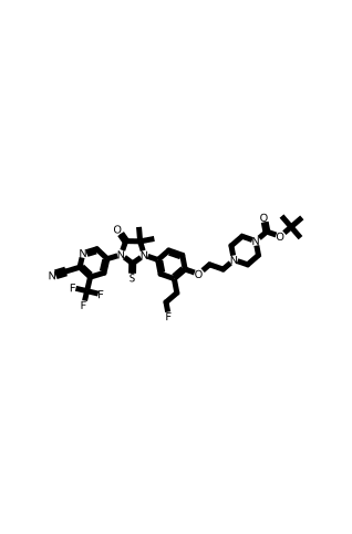 CC(C)(C)OC(=O)N1CCN(CCOc2ccc(N3C(=S)N(c4cnc(C#N)c(C(F)(F)F)c4)C(=O)C3(C)C)cc2CCF)CC1